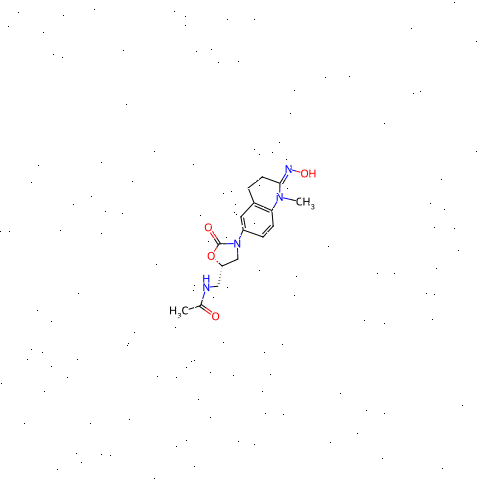 CC(=O)NC[C@H]1CN(c2ccc3c(c2)CCC(=NO)N3C)C(=O)O1